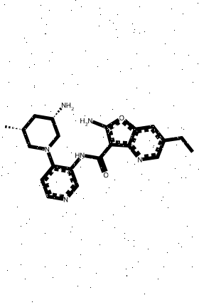 CCc1cnc2c(C(=O)Nc3cnccc3N3C[C@H](C)C[C@H](N)C3)c(N)oc2c1